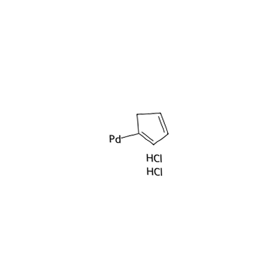 Cl.Cl.[Pd][C]1=CC=CC1